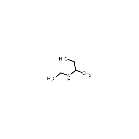 [CH2]C(CC)NCC